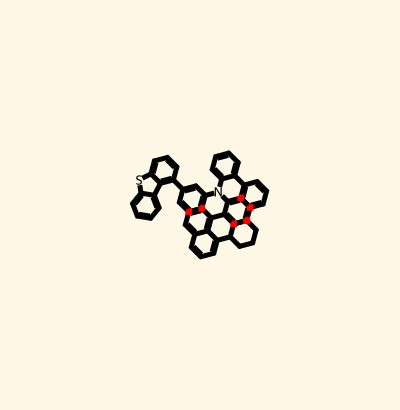 c1ccc(-c2ccccc2N(c2cccc(-c3cccc4sc5ccccc5c34)c2)c2ccccc2-c2cccc3cccc(C4CCCCC4)c23)cc1